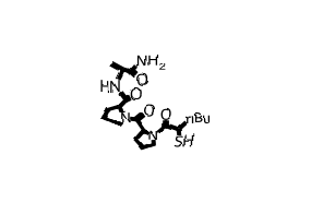 CCCCC(S)C(=O)N1CCCC1C(=O)N1CCCC1C(=O)NC(C)C(N)=O